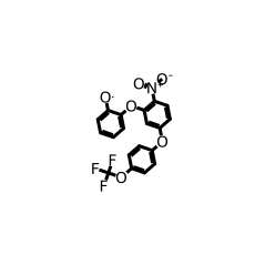 [O]c1ccccc1Oc1cc(Oc2ccc(OC(F)(F)F)cc2)ccc1[N+](=O)[O-]